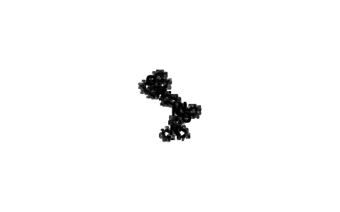 c1ccc(-n2c3ccccc3c3cc(-c4nc(-c5ccc6cc(-n7c8ccc9cccc%10oc%11cccc%12ccc7c(c%12%11)c8c9%10)ccc6c5)nc5c4oc4ccccc45)ccc32)cc1